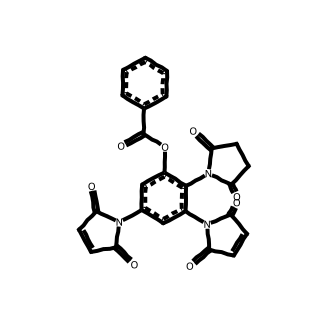 O=C(Oc1cc(N2C(=O)C=CC2=O)cc(N2C(=O)C=CC2=O)c1N1C(=O)CCC1=O)c1ccccc1